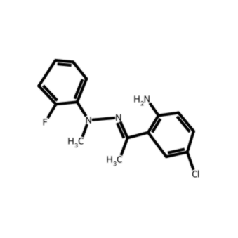 C/C(=N\N(C)c1ccccc1F)c1cc(Cl)ccc1N